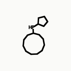 C1CCCCCC(PC2CCCC2)CCCC1